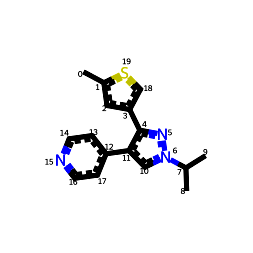 Cc1cc(-c2nn(C(C)C)cc2-c2ccncc2)cs1